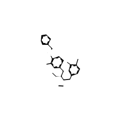 CC[C@@H](Cc1ccc(C)c(C)c1)[C@@H](CC)Cc1ccc(OCc2ccccc2)c(C)c1